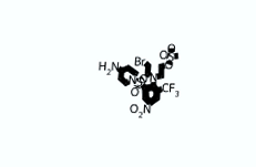 CS(=O)(=O)OCCN(CCBr)c1c(C(F)(F)F)cc([N+](=O)[O-])cc1S(=O)(=O)N1CCC(N)CC1